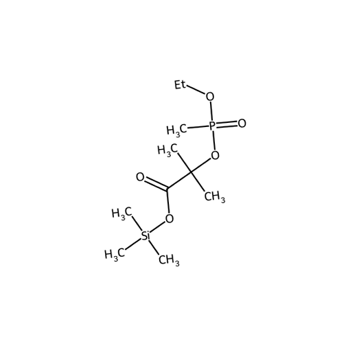 CCOP(C)(=O)OC(C)(C)C(=O)O[Si](C)(C)C